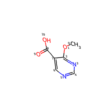 COc1ncncc1C(=O)O